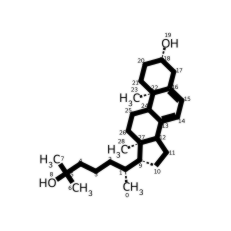 C[C@H](CCCC(C)(C)O)[C@H]1CCC2C3=CC=C4C[C@@H](O)CC[C@]4(C)C3CC[C@@]21C